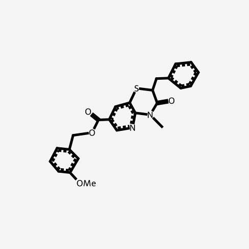 COc1cccc(COC(=O)c2cnc3c(c2)SC(Cc2ccccc2)C(=O)N3C)c1